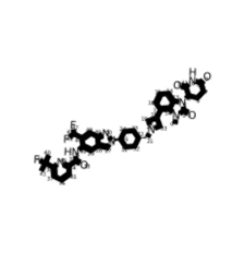 Cn1c(=O)n(C2CCC(=O)NC2=O)c2cccc(C3CN(C[C@H]4CC[C@H](n5cc6cc(NC(=O)c7cccc(C(C)(C)F)n7)c(C(F)F)cc6n5)CC4)C3)c21